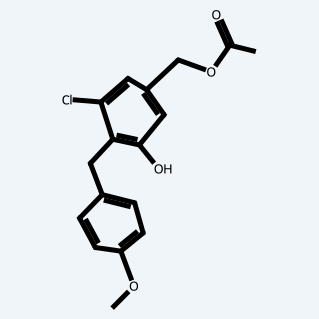 COc1ccc(Cc2c(O)cc(COC(C)=O)cc2Cl)cc1